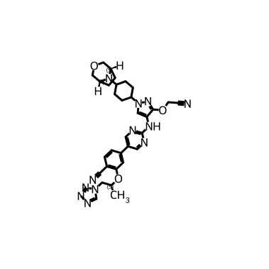 C[C@@H](Cn1cnnn1)Oc1cc(-c2cnc(Nc3cn(C4CCC(N5[C@@H]6CC[C@H]5COC6)CC4)nc3OCC#N)nc2)ccc1C#N